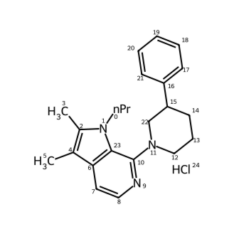 CCCn1c(C)c(C)c2ccnc(N3CCCC(c4ccccc4)C3)c21.Cl